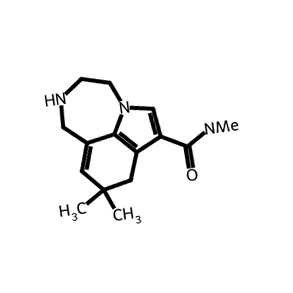 CNC(=O)c1cn2c3c1CC(C)(C)C=C3CNCC2